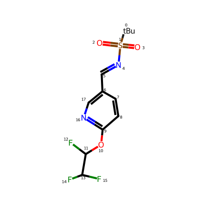 CC(C)(C)S(=O)(=O)N=Cc1ccc(OC(F)C(F)F)nc1